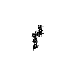 N=Cc1cccc(NC(=O)N[C@@H]2CCCC[C@H]2CN2CCC[C@@H](Cc3ccc(F)cc3)C2)c1